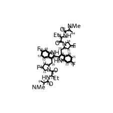 CCC(NC(=O)C(C)NC)C(=O)N1CC(F)CC1Cc1c(-c2[nH]c3cc(F)ccc3c2CC2CC(F)CN2C(=O)C(CC)NC(=O)C(C)NC)[nH]c2cc(F)ccc12